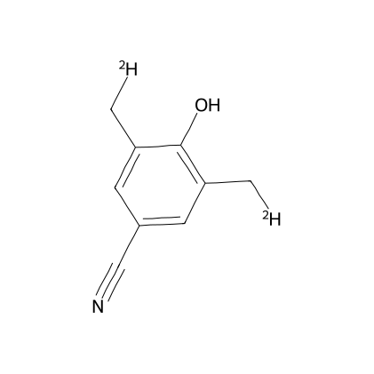 [2H]Cc1cc(C#N)cc(C[2H])c1O